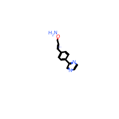 NOC/C=C/c1ccc(-c2cnccn2)cc1